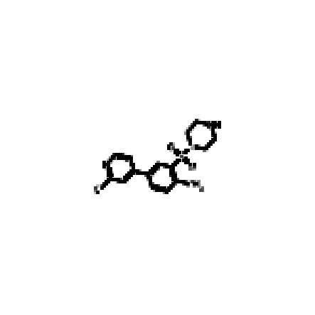 Cc1ccc(-c2ccnc(Cl)c2)cc1S(=O)(=O)N1CCNCC1